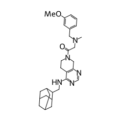 COc1cccc(CN(C)CC(=O)N2CCc3c(ncnc3NCC3C4CC5CC(C4)CC3C5)C2)c1